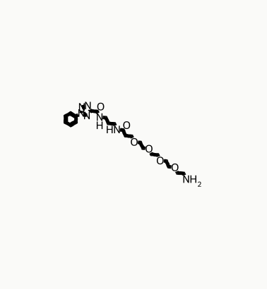 NCCOCCOCCOCCOCCC(=O)NCCCNC(=O)c1nnn(-c2ccccc2)n1